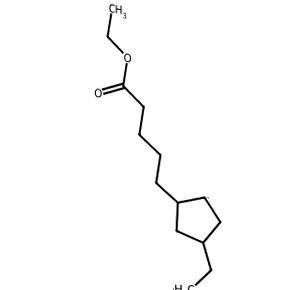 [CH2]CC1C[CH]C(CCCCC(=O)OCC)C1